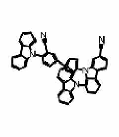 N#Cc1ccc2c3cccc(-n4c5ccccc5c5ccccc54)c3n(-c3ccc(-c4ccc(-n5c6ccccc6c6ccccc65)c(C#N)c4)cc3)c2c1